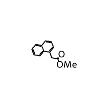 [CH2]OC(=O)Cc1cccc2ccccc12